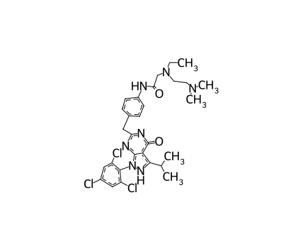 CCN(CCN(C)C)CC(=O)Nc1ccc(Cc2nc3n(-c4c(Cl)cc(Cl)cc4Cl)[nH]c(C(C)C)c-3c(=O)n2)cc1